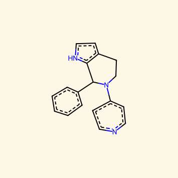 c1ccc(C2c3[nH]ccc3CCN2c2ccncc2)cc1